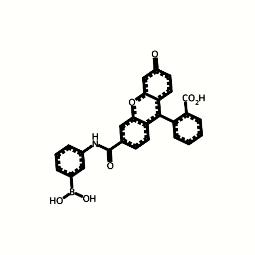 O=C(Nc1cccc(B(O)O)c1)c1ccc2c(-c3ccccc3C(=O)O)c3ccc(=O)cc-3oc2c1